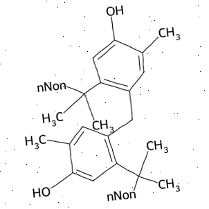 CCCCCCCCCC(C)(C)c1cc(O)c(C)cc1Cc1cc(C)c(O)cc1C(C)(C)CCCCCCCCC